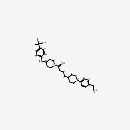 CCc1ccc(N2CCC(CCCC(=O)N3CCC(Nc4ccc(C(F)(F)F)cn4)CC3)CC2)cc1